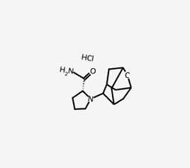 Cl.NC(=O)[C@H]1CCCN1C1C2CC3CC(C2)CC1C3